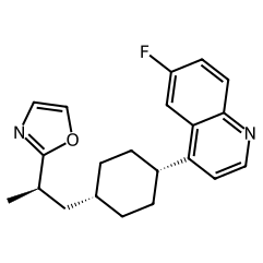 C[C@H](C[C@H]1CC[C@@H](c2ccnc3ccc(F)cc32)CC1)c1ncco1